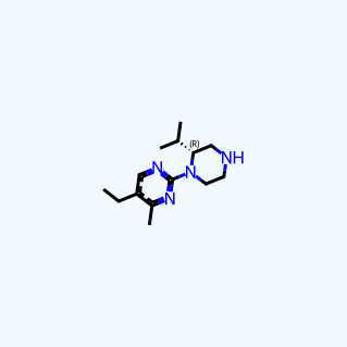 CCc1cnc(N2CCNC[C@H]2C(C)C)nc1C